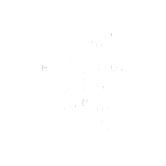 CCC(C(=O)OF)C(F)(F)C(=O)OF